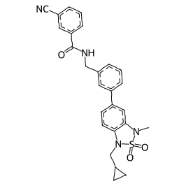 CN1c2cc(-c3cccc(CNC(=O)c4cccc(C#N)c4)c3)ccc2N(CC2CC2)S1(=O)=O